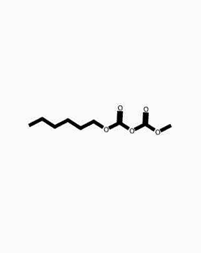 CCCCCCOC(=O)OC(=O)OC